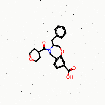 O=C(O)c1ccc2c(c1)OCC(Cc1ccccc1)N(C(=O)C1CCOCC1)C2